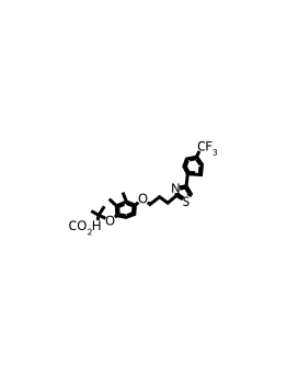 Cc1c(OCCCc2nc(-c3ccc(C(F)(F)F)cc3)cs2)ccc(OC(C)(C)C(=O)O)c1C